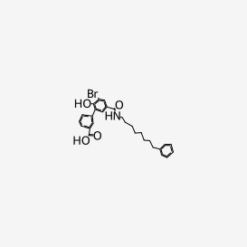 O=C(O)c1cccc(-c2cc(C(=O)NCCCCCCCCc3ccccc3)cc(Br)c2O)c1